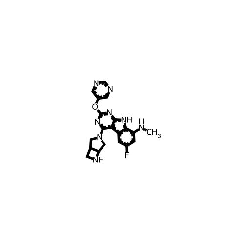 CNc1cc(F)cc2c1[nH]c1nc(Oc3cncnc3)nc(N3CC4CNC4C3)c12